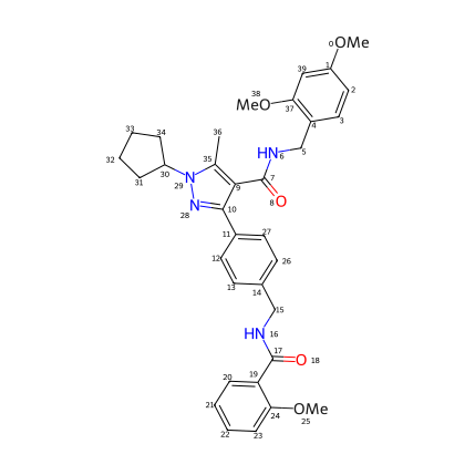 COc1ccc(CNC(=O)c2c(-c3ccc(CNC(=O)c4ccccc4OC)cc3)nn(C3CCCC3)c2C)c(OC)c1